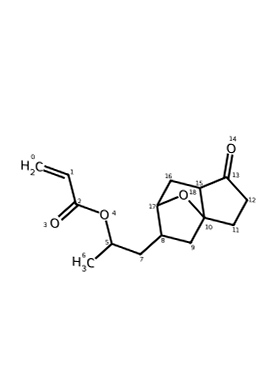 C=CC(=O)OC(C)CC1CC23CCC(=O)C2CC1O3